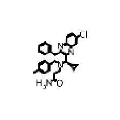 Cc1ccc(CN(CCC(N)=O)C(c2nc3cc(Cl)ccc3nc2Cc2ccccc2)C2CC2)cc1